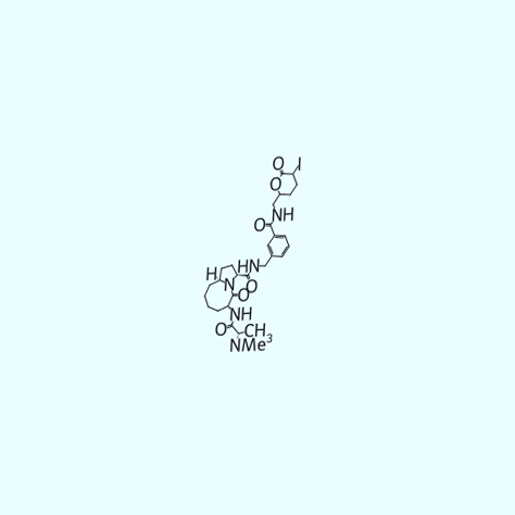 CN[C@@H](C)C(=O)N[C@H]1CCCC[C@H]2CC[C@@H](C(=O)NCc3cccc(C(=O)NCC4CCC(I)C(=O)O4)c3)N2C1=O